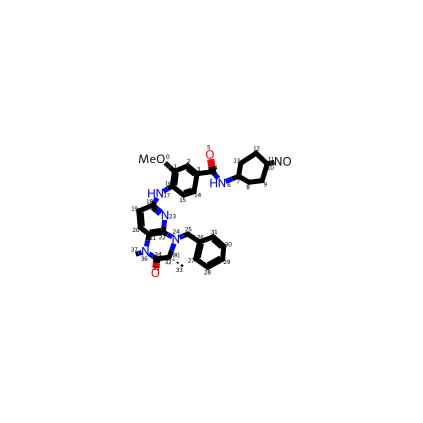 COc1cc(C(=O)NC2CCC(N=O)CC2)ccc1Nc1ccc2c(n1)N(Cc1ccccc1)[C@H](C)C(=O)N2C